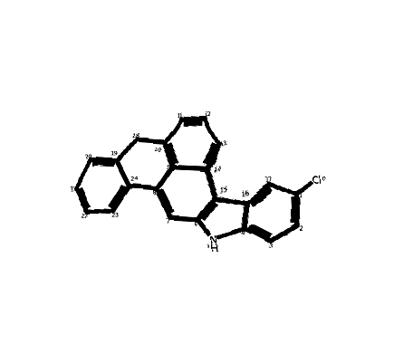 Clc1ccc2[nH]c3cc4c5c(cccc5c3c2c1)Cc1ccccc1-4